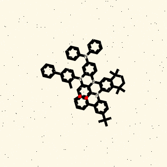 Cc1cc2c3c(c1)N(c1ccc(C(C)(C)C)cc1-c1ccccc1)c1cc4c(cc1B3c1ccc(N(c3ccccc3)c3ccccc3)cc1N2c1ccc(-c2ccccc2)cc1C)C(C)(C)CCC4(C)C